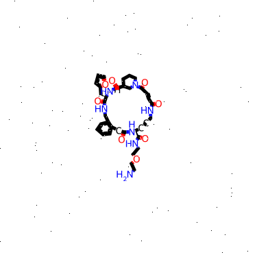 NCCOCCNC(=O)[C@@H]1CCCNC(=O)/C=C\C(=O)N2CCC[C@H](C2)C(=O)N[C@@H](Cc2ccco2)C(=O)NCc2ccccc2CC(=O)N1